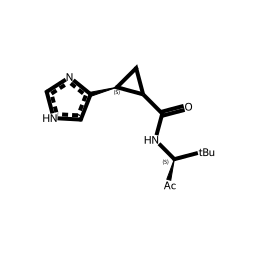 CC(=O)[C@@H](NC(=O)C1C[C@@H]1c1c[nH]cn1)C(C)(C)C